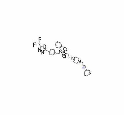 O=S(=O)(CCN1CCN(C/C=C/c2ccccc2)CC1)N(Cc1ccc(-c2nnc(C(F)F)o2)cc1)c1ccccc1